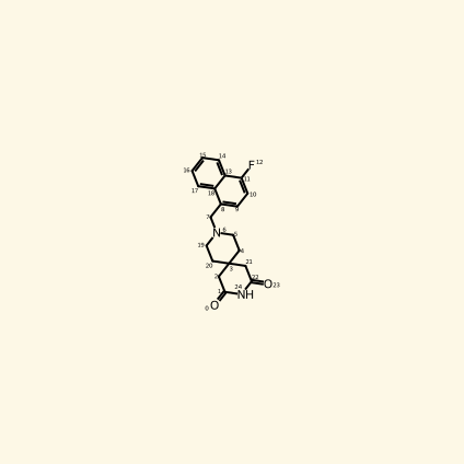 O=C1CC2(CCN(Cc3ccc(F)c4ccccc34)CC2)CC(=O)N1